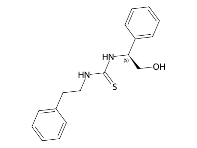 OC[C@@H](NC(=S)NCCc1ccccc1)c1ccccc1